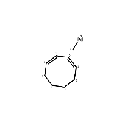 C1=CCCCCC=C1.[CH3][Pd]